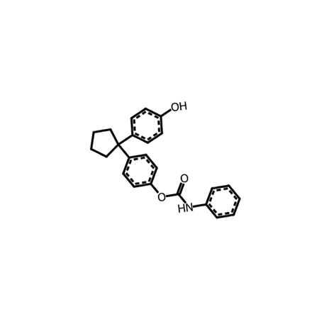 O=C(Nc1ccccc1)Oc1ccc(C2(c3ccc(O)cc3)CCCC2)cc1